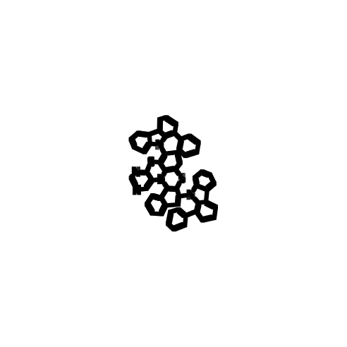 c1ccc(-c2cccc3c4ccccc4n(-c4ccc5c6c4Sc4ncncc4B6c4c(c(-n6c7ccccc7c7cccc(-c8ccccc8)c76)cc6ccccc46)S5)c23)cc1